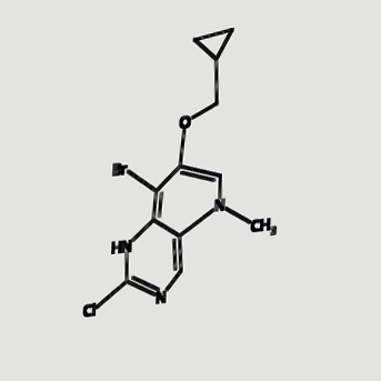 CN1C=C(OCC2CC2)C(Br)=C2NC(Cl)=NC=C21